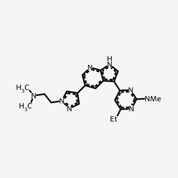 CCc1cc(-c2c[nH]c3ncc(-c4cnn(CCN(C)C)c4)cc23)nc(NC)n1